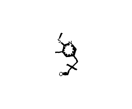 CSc1ncc(CC(C)(C)C=O)cc1C